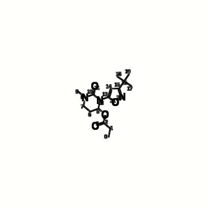 CCC(=O)OC1CCN(C)C(=O)N1c1cc(C(C)(C)C)no1